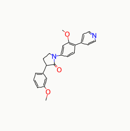 COc1cccc(C2CCN(c3ccc(-c4ccncc4)c(OC)c3)C2=O)c1